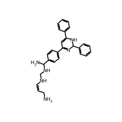 NC/C=C\NCNC(N)c1ccc(C2=NC(c3ccccc3)NC(c3ccccc3)=C2)cc1